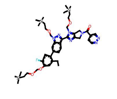 CCc1cc(OCOCC[Si](C)(C)C)c(F)cc1-c1ccc2c(-c3nc4c(n3COCC[Si](C)(C)C)CN(C(=O)c3ccnnc3)C4)nn(COCC[Si](C)(C)C)c2c1